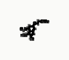 CCCCn1c(CC)cc2cc(OCCOC)cc([N+](=O)[O-])c21